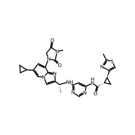 Cc1nc([C@H]2C[C@@H]2C(=O)Nc2cc(N[C@H](C)c3cn4cc(C5CC5)cc(N5CC(=O)N(C)C5=O)c4n3)ncn2)cs1